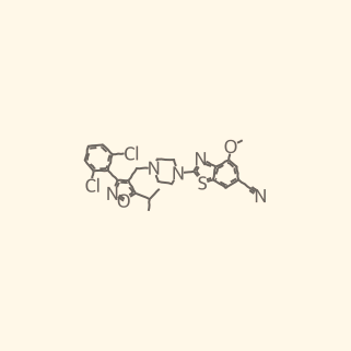 COc1cc(C#N)cc2sc(N3CCN(Cc4c(-c5c(Cl)cccc5Cl)noc4C(C)C)CC3)nc12